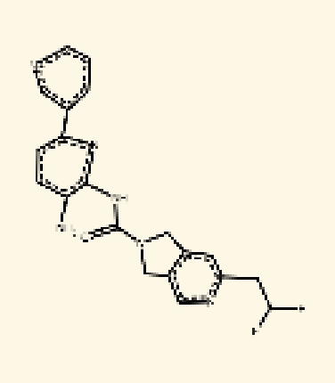 Nc1ccc(-c2cccnc2)nc1NC(=O)N1Cc2cnc(CC(F)F)cc2C1